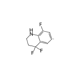 Fc1c[c]cc2c1NCCC2(F)F